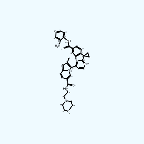 Cc1nc2ccc(C(=O)NCCN3CCOCC3)cn2c1-c1ccnc(C2(c3ccc(C(=O)Nc4ccccc4N)cc3)CC2)n1